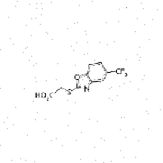 O=C(O)CSc1nc2cc(C(F)(F)F)ccc2o1